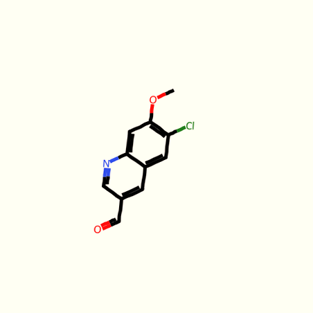 COc1cc2ncc(C=O)cc2cc1Cl